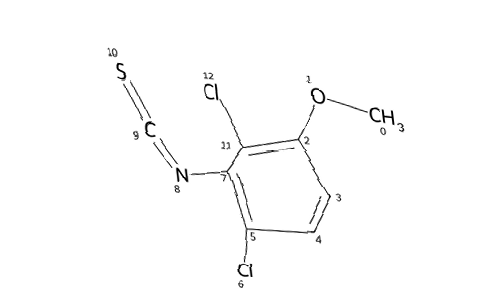 COc1ccc(Cl)c(N=C=S)c1Cl